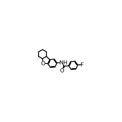 O=C(Nc1ccc2c(c1)C1CCCCC1O2)c1ccc(F)cc1